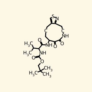 CC(C)C(NC(=O)OCC(C)(C)C)C(=O)NC1CCCc2csnc2CCNC(=O)C1=O